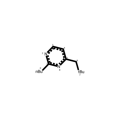 CCCCc1nccc(CC(C)(C)C)n1